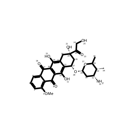 COc1cccc2c1C(=O)c1c(O)c3c(c(O)c1C2=O)C[C@@](O)(C(=O)CO)C[C@@H]3O[C@H]1C[C@@H](N)[C@@H](C)C(C)O1